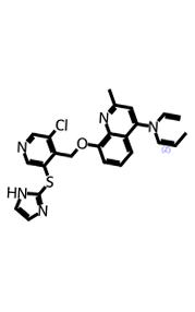 C=CN(/C=C\C)c1cc(C)nc2c(OCc3c(Cl)cncc3Sc3ncc[nH]3)cccc12